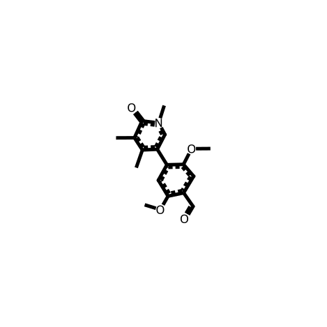 COc1cc(-c2cn(C)c(=O)c(C)c2C)c(OC)cc1C=O